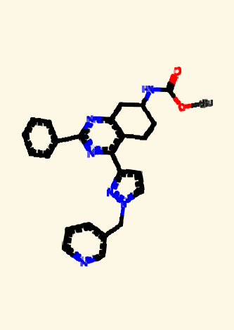 CC(C)(C)OC(=O)NC1CCc2c(nc(-c3ccccc3)nc2-c2ccn(Cc3cccnc3)n2)C1